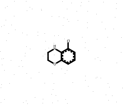 Clc1cccc2c1NCCO2